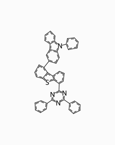 c1ccc(-c2nc(-c3ccccc3)nc(-c3cccc4c3sc3cccc(-c5ccc6c(c5)c5ccccc5n6-c5ccccc5)c34)n2)cc1